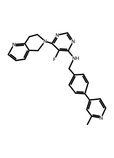 Cc1cc(-c2ccc(CNc3ncnc(N4CCc5ncccc5C4)c3F)cc2)ccn1